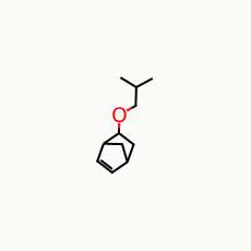 CC(C)COC1CC2C=CC1C2